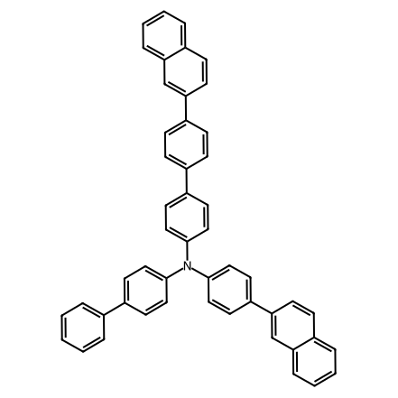 c1ccc(-c2ccc(N(c3ccc(-c4ccc(-c5ccc6ccccc6c5)cc4)cc3)c3ccc(-c4ccc5ccccc5c4)cc3)cc2)cc1